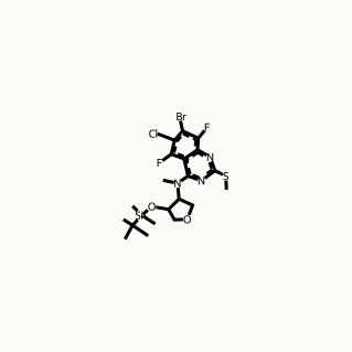 CSc1nc(N(C)C2COCC2O[Si](C)(C)C(C)(C)C)c2c(F)c(Cl)c(Br)c(F)c2n1